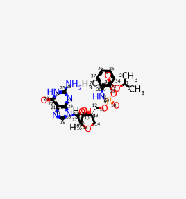 CC(C)OC(=O)[C@@H](C)N[P@](=O)(OC[C@@]12CO[C@@H](C(n3cnc4c(=O)[nH]c(N)nc43)O1)[C@@H]2O)Oc1ccccc1